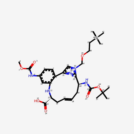 COC(=O)Nc1ccc2c(c1)N[C@@H](C(=O)O)C/C=C/C[C@H](NC(=O)OC(C)(C)C)c1nc-2cn1COCC[Si](C)(C)C